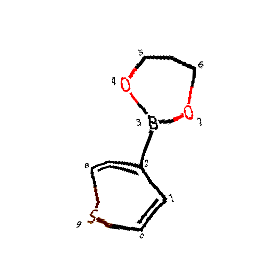 c1cc(B2OCCO2)cs1